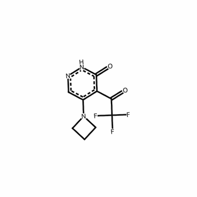 O=C(c1c(N2CCC2)cn[nH]c1=O)C(F)(F)F